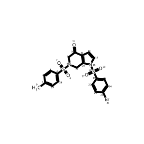 Cc1ccc(S(=O)(=O)N2CC(=O)c3ccn(S(=O)(=O)c4ccc(Br)cc4)c3C2)cc1